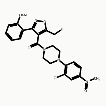 COc1ccccc1-c1noc(CF)c1C(=O)N1CCN(c2ccc([N+](C)=O)cc2Cl)CC1